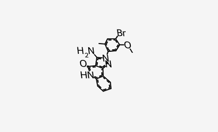 COc1cc(-n2nc3c(c2N)c(=O)[nH]c2ccccc23)c(C)cc1Br